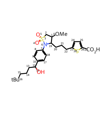 COC1CS(=O)(=O)N(c2ccc(C(O)CCCC(C)(C)C)cc2)C1CCCc1ccc(C(=O)O)s1